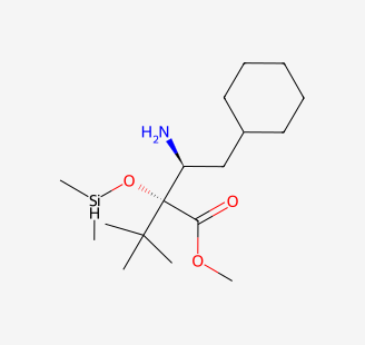 COC(=O)[C@](O[SiH](C)C)([C@@H](N)CC1CCCCC1)C(C)(C)C